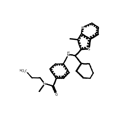 Cc1c(C(Nc2ccc(C(=O)N(C)CCC(=O)O)cc2)C2CCCCC2)sc2cccnc12